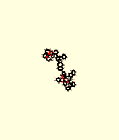 Cc1cc2c(C)c(c1-c1ccccc1[C@@H](C)C1=NC(n3c4ccccc4c4ccccc43)=CNc3c1sc1cc(-c4ccc5cc6c7cc8c(c9ccccc9n8/C8=N/C(n9c%10ccccc%10c%10ccccc%109)=C/C[C@H](C)c9c8oc8ccccc98)c8c9ccccc9n(c6cc5c4)c78)ccc31)-c1ccccc1C(C)[C@@H](C)c1cc3ccccc3cc1-2